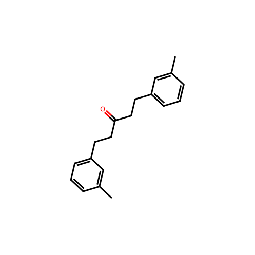 Cc1cccc(CCC(=O)CCc2cccc(C)c2)c1